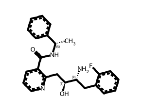 C[C@H](NC(=O)c1cccnc1C[C@H](O)[C@H](N)Cc1ccccc1F)c1ccccc1